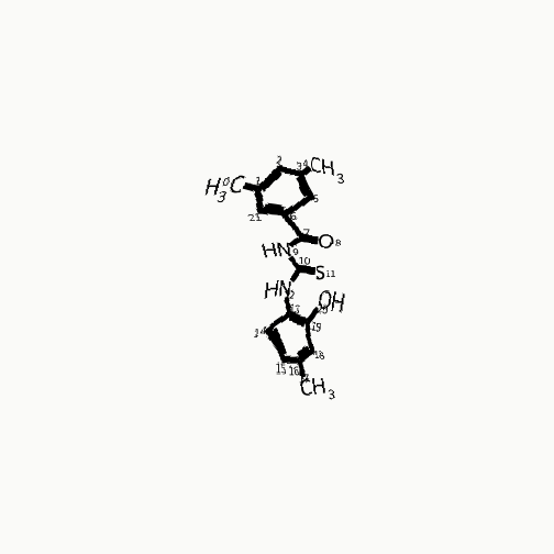 Cc1cc(C)cc(C(=O)NC(=S)Nc2ccc(C)cc2O)c1